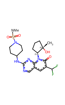 CNS(=O)(=O)N1CCC(Nc2ncc3cc(C(F)F)c(=O)n([C@H]4CCC[C@]4(C)O)c3n2)CC1